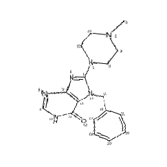 CN1CCN(c2nc3nc[nH]c(=O)c3n2Cc2ccccc2)CC1